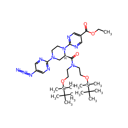 CCOC(=O)c1cnc(N2CCN(c3ncc(N=[N+]=[N-])cn3)C[C@@H]2C(=O)N(CCO[Si](C)(C)C(C)(C)C)CCO[Si](C)(C)C(C)(C)C)nc1